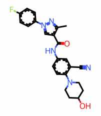 Cc1nn(-c2ccc(F)cc2)cc1C(=O)Nc1ccc(N2CCC(O)CC2)c(C#N)c1